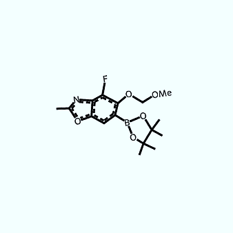 COCOc1c(B2OC(C)(C)C(C)(C)O2)cc2oc(C)nc2c1F